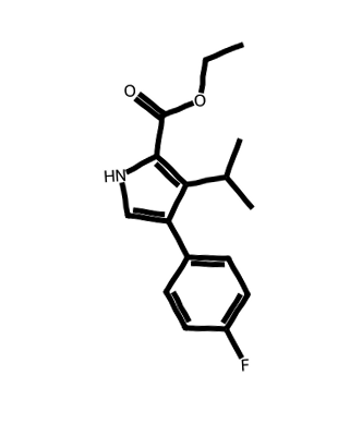 CCOC(=O)c1[nH]cc(-c2ccc(F)cc2)c1C(C)C